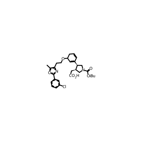 Cc1oc(-c2cccc(Cl)c2)nc1CCOC1C=C([C@H]2CN(C(=O)OCC(C)C)C[C@H]2CC(=O)O)C=CC1